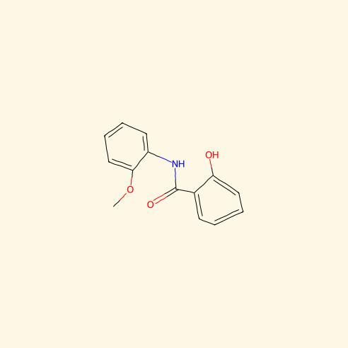 COc1ccccc1NC(=O)c1ccccc1O